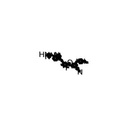 CCCN1CCN(Cc2cc(NC(=O)c3cc(C#CC4=CCN=C5C(Nc6cn[nH]c6)=CC=CN45)c(C)cc3F)cc(C(C)(C)C#N)c2)CC1